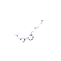 COC(=O)COCC(=O)NCc1cccc(-c2csc(N=C(N)N)n2)n1